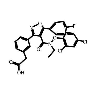 CCN(Oc1ccc(Cl)cc1Cl)C(=O)c1c(-c2cccc(CC(=O)O)c2)noc1-c1ccc(F)cc1